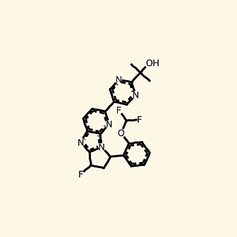 CC(C)(O)c1ncc(-c2ccc3nc4n(c3n2)C(c2ccccc2OC(F)F)CC4F)cn1